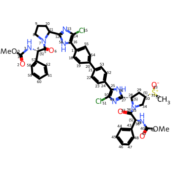 COC(=O)N[C@H](C(=O)N1CCCC1c1nc(Cl)c(-c2ccc(-c3ccc(-c4[nH]c([C@@H]5C[C@H]([S+](C)[O-])CN5C(=O)[C@@H](NC(=O)OC)c5ccccc5)nc4Cl)cc3)cc2)[nH]1)c1ccccc1